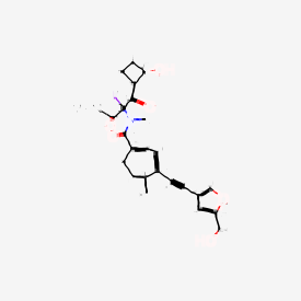 CNC(=O)C(I)(C(=O)C1CC[C@H]1O)N(C)C(=O)C1=CC=C(C#Cc2coc(CO)c2)C(C)CC1